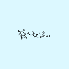 NC(Cc1ccc(OCc2c(F)c(F)c(F)c(F)c2F)cc1)C(=O)NO